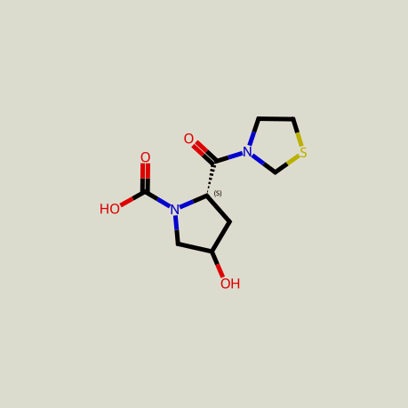 O=C([C@@H]1CC(O)CN1C(=O)O)N1CCSC1